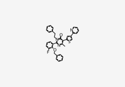 Cc1nc(-c2cccc(F)c2OCc2ccccc2)n(CCc2ccccc2)c(=O)c1-c1cc(-c2ccccn2)cs1